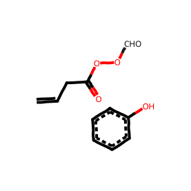 C=CCC(=O)OOC=O.Oc1ccccc1